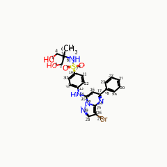 CC(CO)(CO)NS(=O)(=O)c1ccc(Nc2cc(-c3ccccc3)nc3c(Br)cnn23)cc1